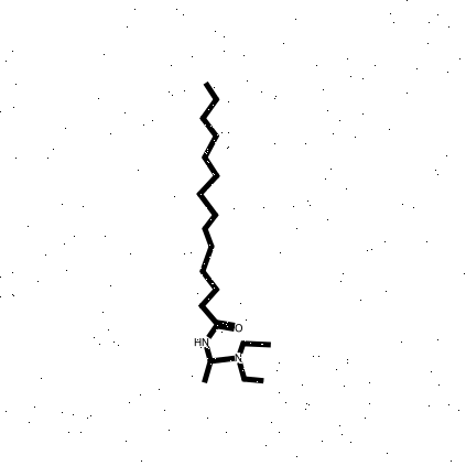 CCCCCCCCCCCCCC(=O)NC(C)N(CC)CC